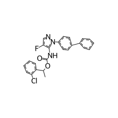 CC(OC(=O)Nc1c(F)cnn1-c1ccc(-c2ccccc2)cc1)c1ccccc1Cl